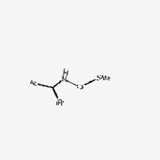 CSONC(C(C)=O)C(C)C